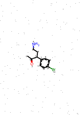 CC(=O)C(CCN)c1ccc(Br)cc1